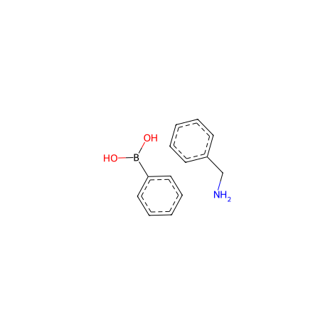 NCc1ccccc1.OB(O)c1ccccc1